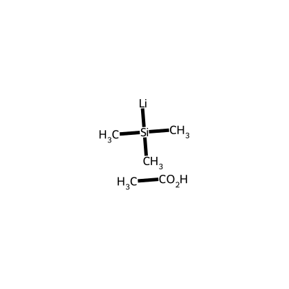 CC(=O)O.[Li][Si](C)(C)C